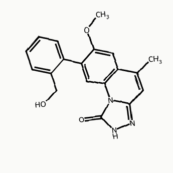 COc1cc2c(C)cc3n[nH]c(=O)n3c2cc1-c1ccccc1CO